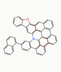 c1ccc(-c2ccc(-c3cccc4ccccc34)cc2N(c2ccc3oc4ccccc4c3c2)c2ccccc2-c2cccc3cccc(-c4ccccc4)c23)cc1